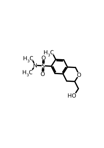 Cc1cc2c(cc1S(=O)(=O)N(C)C)CC(CO)OC2